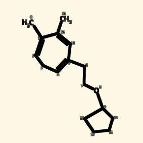 CC1=CCC=C(CCOC2CCCC2)C=C1C